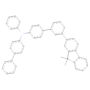 CC1(C)c2ccccc2-c2ccc(-c3cccc(-c4ccc(N(c5ccccc5)c5ccc(-c6ccccc6)cc5)cc4)c3)cc21